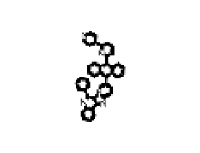 c1ccc(-c2nc3ccccc3c3nc4ccc(-c5c6ccccc6c(-c6cccc(-c7ccncc7)n6)c6ccccc56)cn4c23)cc1